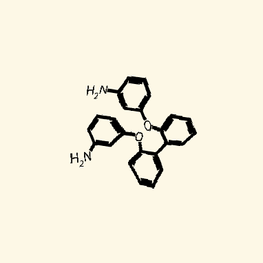 Nc1cccc(Oc2ccccc2-c2ccccc2Oc2cccc(N)c2)c1